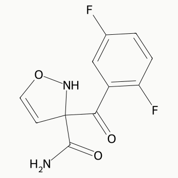 NC(=O)C1(C(=O)c2cc(F)ccc2F)C=CON1